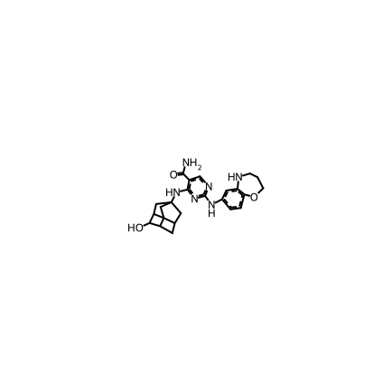 NC(=O)c1cnc(Nc2ccc3c(c2)NCCCO3)nc1NC12CC3CC4C(O)C(C1)C34C2